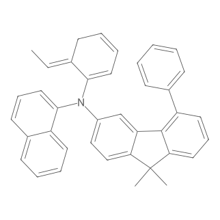 C/C=C1\CC=CC=C1N(c1ccc2c(c1)-c1c(-c3ccccc3)cccc1C2(C)C)c1cccc2ccccc12